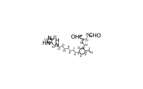 C=Cc1ccc(CCCCCCCNCc2[nH]cnc2C)cc1CCC(C=O)CCC=O